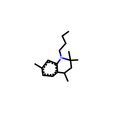 CCCCN1c2cc(C)ccc2C(C)CC1(C)C